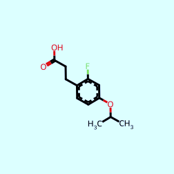 CC(C)Oc1ccc(CCC(=O)O)c(F)c1